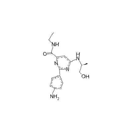 CCNC(=O)c1cc(N[C@@H](C)CO)nc(-c2ccc(N)cc2)n1